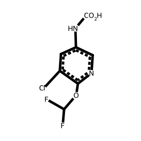 O=C(O)Nc1cnc(OC(F)F)c(Cl)c1